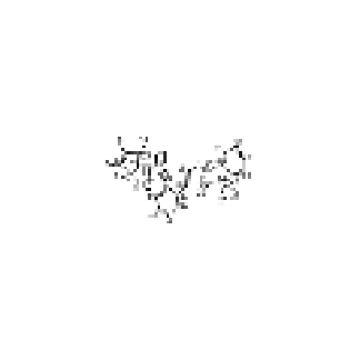 CC1=C(C)C(C)(C)[C]([Ti]([Cl])([Cl])[O]c2ccccc2-c2ccc3c(c2)C(C)(C)c2ccccc2-3)=C1C